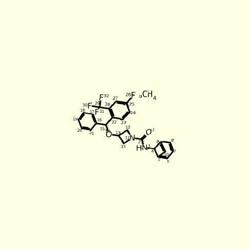 C.O=C(NC1C2=CC=CC1=C2)N1CC(OC(c2ccccc2)c2ccc(F)cc2C(F)(F)F)C1